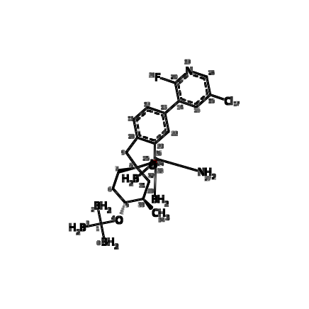 BC(B)(B)O[C@@H]1CC[C@]2(Cc3ccc(-c4cc(Cl)cnc4F)cc3[C@]23N=C(N)OC3(B)B)C[C@H]1C